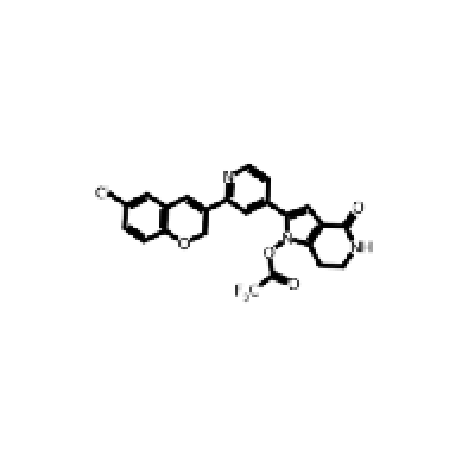 O=C1NCCc2c1cc(-c1ccnc(C3=Cc4cc(Cl)ccc4OC3)c1)n2OC(=O)C(F)(F)F